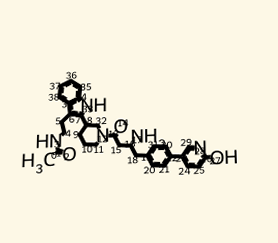 CC(=O)NCCc1c(C2CCCN(C(=O)C[C@H](N)Cc3ccc(-c4ccc(O)nc4)cc3)C2)[nH]c2ccccc12